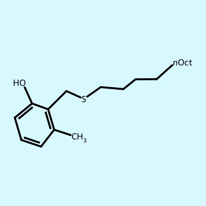 CCCCCCCCCCCCSCc1c(C)cccc1O